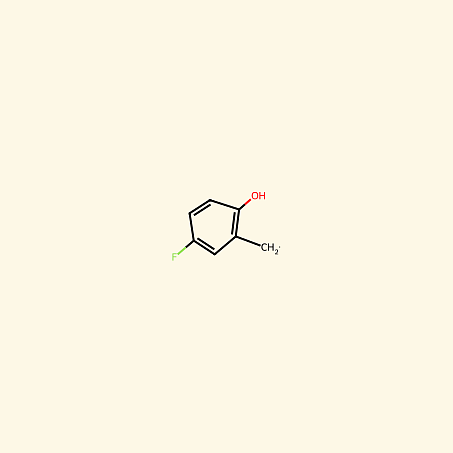 [CH2]c1cc(F)ccc1O